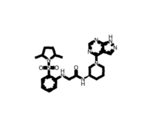 CC1CCC(C)N1S(=O)(=O)c1ccccc1NCC(=O)N[C@@H]1CCCN(c2ncnc3[nH]ncc23)C1